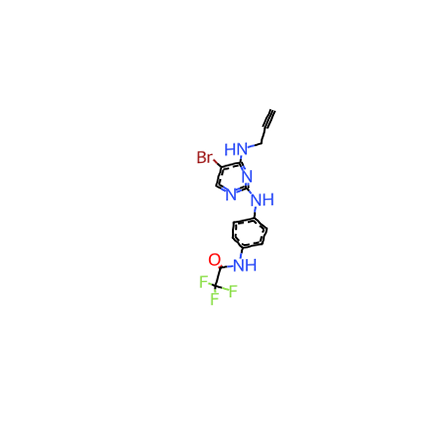 C#CCNc1nc(Nc2ccc(NC(=O)C(F)(F)F)cc2)ncc1Br